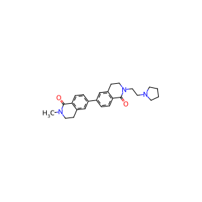 CN1CCc2cc(-c3ccc4c(c3)CCN(CCN3CCCC3)C4=O)ccc2C1=O